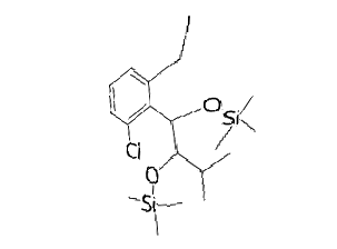 CC(C)C(O[Si](C)(C)C)C(O[Si](C)(C)C)c1c(Cl)cccc1CI